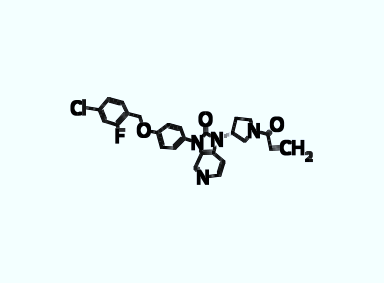 C=CC(=O)N1CC[C@@H](n2c(=O)n(-c3ccc(OCc4ccc(Cl)cc4F)cc3)c3cnccc32)C1